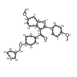 COc1ccc(-c2sc3cc(OC)ccc3c2C(=O)c2ccc(OCc3ccsc3)cc2)cc1